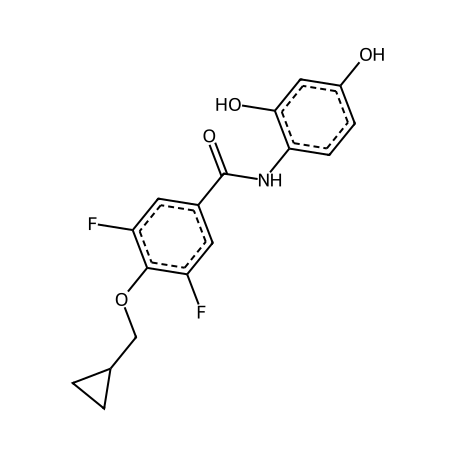 O=C(Nc1ccc(O)cc1O)c1cc(F)c(OCC2CC2)c(F)c1